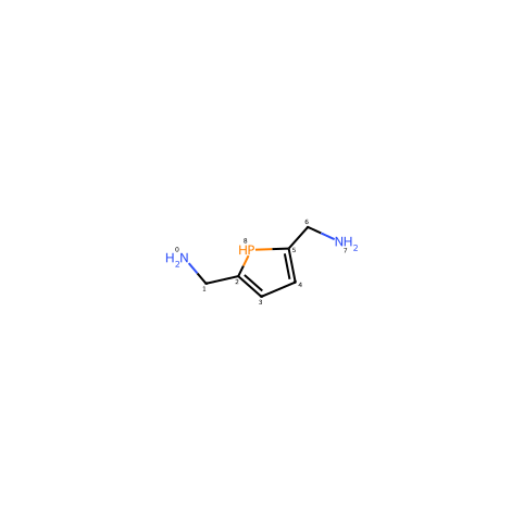 NCc1ccc(CN)[pH]1